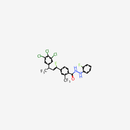 O=C(NNc1ccccc1F)c1ccc(/C(F)=C/C(c2cc(Cl)c(Cl)c(Cl)c2)C(F)(F)F)cc1C(F)(F)F